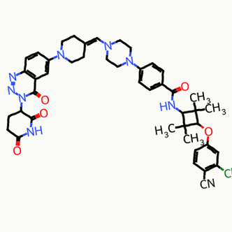 CC1(C)C(NC(=O)c2ccc(N3CCN(C=C4CCN(c5ccc6nnn(C7CCC(=O)NC7=O)c(=O)c6c5)CC4)CC3)cc2)C(C)(C)C1Oc1ccc(C#N)c(Cl)c1